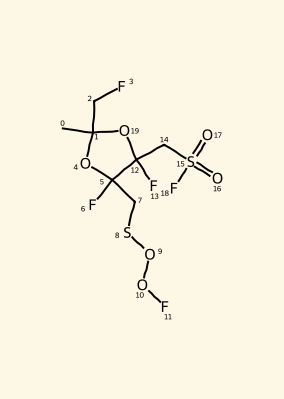 CC1(CF)OC(F)(CSOOF)C(F)(CS(=O)(=O)F)O1